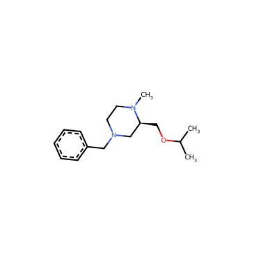 CC(C)OC[C@H]1CN(Cc2ccccc2)CCN1C